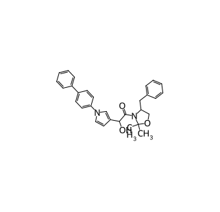 CC1(C)OCC(Cc2ccccc2)N1C(=O)C(O)c1ccn(-c2ccc(-c3ccccc3)cc2)c1